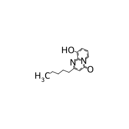 CCCCCc1cc(=O)n2cccc(O)c2n1